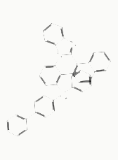 O=P(c1ccccc1)(c1ccc(-c2ccccc2)cc1)c1cccc2c1c1ccc3ccccc3c1c1nc3ccccc3n21